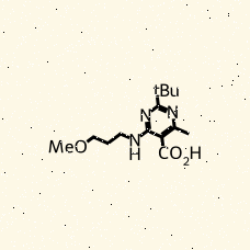 COCCCNc1nc(C(C)(C)C)nc(C)c1C(=O)O